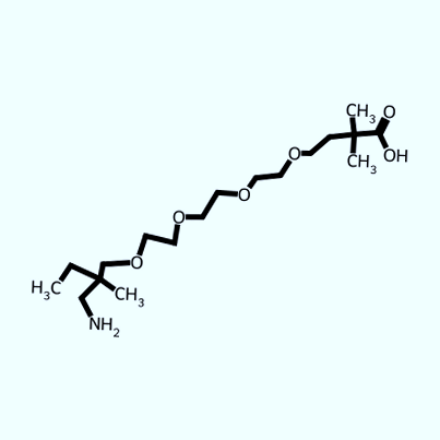 CCC(C)(CN)COCCOCCOCCOCCC(C)(C)C(=O)O